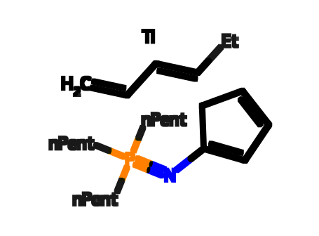 C=CC=CCC.CCCCCP(CCCCC)(CCCCC)=NC1=CC=CC1.[Ti]